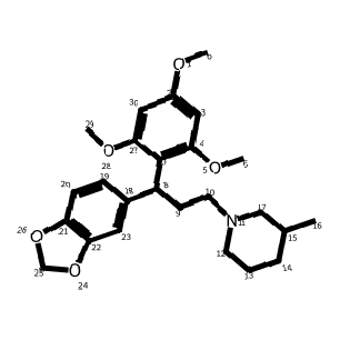 COc1cc(OC)c(C(CCN2CCCC(C)C2)c2ccc3c(c2)OCO3)c(OC)c1